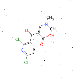 CN(C)C=C(C(=O)O)C(=O)c1ccc(Cl)nc1Cl